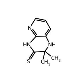 CC1(C)Nc2cccnc2NC1=S